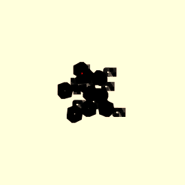 N#Cc1ccc2c(c1)c1cc(C#N)ccc1n2-c1ccc(-c2ccccc2C#N)cc1-c1ccc(-n2c3ccc(C#N)cc3c3cc(C#N)ccc32)c(-c2nc(-c3ccccc3)nc(-c3ccccc3)n2)c1